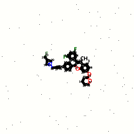 CC1=C(c2cc(F)cc(F)c2)C(c2ccc(C#CCN3CC(CF)C3)cc2)Oc2cc(OC3CCCCO3)ccc21